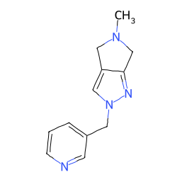 CN1Cc2cn(Cc3cccnc3)nc2C1